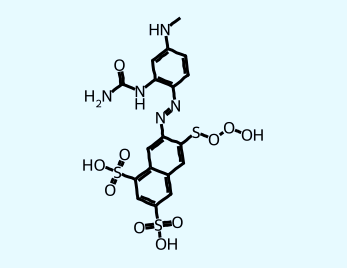 CNc1ccc(N=Nc2cc3c(S(=O)(=O)O)cc(S(=O)(=O)O)cc3cc2SOOO)c(NC(N)=O)c1